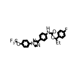 CCC(OC(=O)Nc1ccc(-c2ncn(-c3ccc(OC(F)(F)F)cc3)n2)cc1)c1ccc(F)cc1